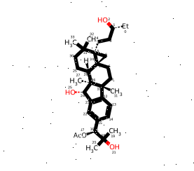 CC[C@@H](O)CC[C@]12C[C@]13CC[C@]1(C)c4ccc([C@H](OC(C)=O)C(C)(C)O)cc4[C@H](O)[C@@]1(C)[C@@H]3CCC2(C)C